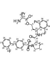 CC(C)[C@H](N)C(=O)OCC[C@H](NC(=O)[C@@H]1SCCN1S(=O)(=O)c1ccc(-c2ccccc2F)cc1)c1c(F)cccc1F